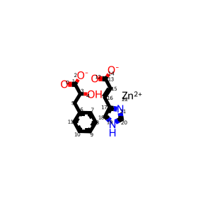 O=C([O-])C(O)Cc1ccccc1.O=C([O-])C=Cc1c[nH]cn1.[Zn+2]